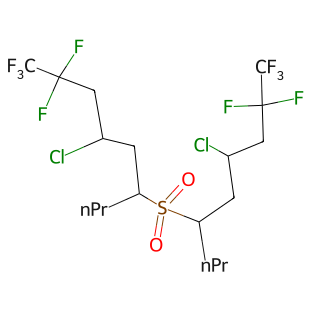 CCCC(CC(Cl)CC(F)(F)C(F)(F)F)S(=O)(=O)C(CCC)CC(Cl)CC(F)(F)C(F)(F)F